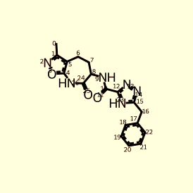 Cc1noc2c1CCC(NC(=O)c1nnc(Cc3ccccc3)[nH]1)C(=O)N2